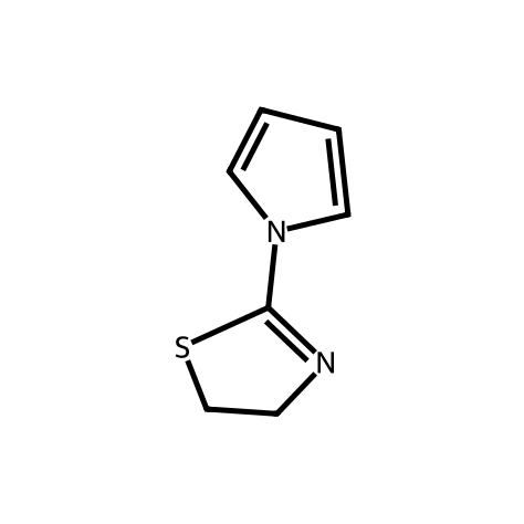 c1ccn(C2=NCCS2)c1